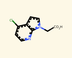 O=C(O)Cn1ccc2c(Cl)ccnc21